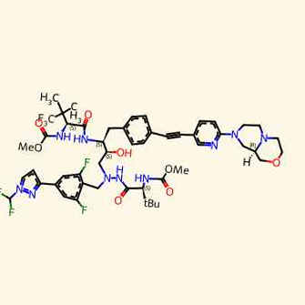 COC(=O)N[C@H](C(=O)NN(Cc1c(F)cc(-c2ccn(C(F)F)n2)cc1F)C[C@H](O)[C@H](Cc1ccc(C#Cc2ccc(N3CCN4CCOC[C@H]4C3)nc2)cc1)NC(=O)[C@@H](NC(=O)OC)C(C)(C)C(F)(F)F)C(C)(C)C